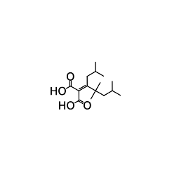 CC(C)CC(=C(C(=O)O)C(=O)O)C(C)(C)CC(C)C